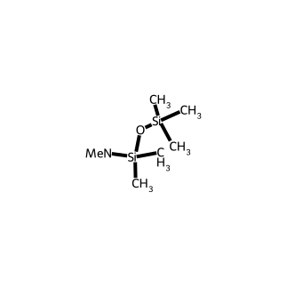 CN[Si](C)(C)O[Si](C)(C)C